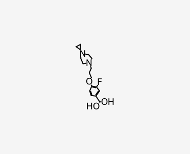 OC(O)c1ccc(OCCCN2CCN(C3CC3)CC2)c(F)c1